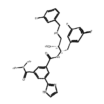 CCCN(CCC)C(=O)c1cc(C(=O)N[C@@H](Cc2cc(F)cc(F)c2)[C@H](O)CNCc2cccc(CC)c2)cc(-c2ncc[nH]2)c1